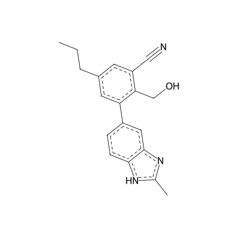 CCCc1cc(C#N)c(CO)c(-c2ccc3[nH]c(C)nc3c2)c1